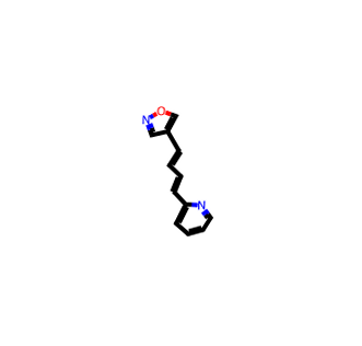 C(C=Cc1ccccn1)=Cc1cnoc1